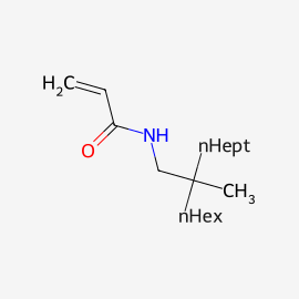 C=CC(=O)NCC(C)(CCCCCC)CCCCCCC